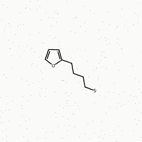 [S]CCCCc1ccco1